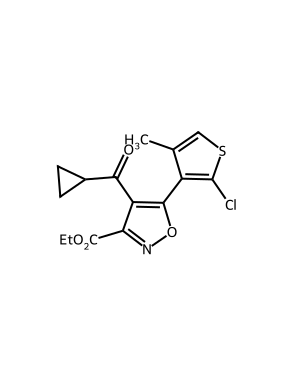 CCOC(=O)c1noc(-c2c(C)csc2Cl)c1C(=O)C1CC1